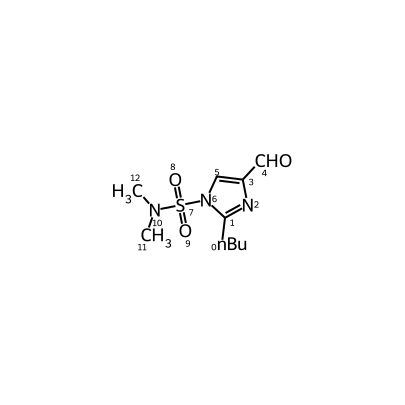 CCCCc1nc(C=O)cn1S(=O)(=O)N(C)C